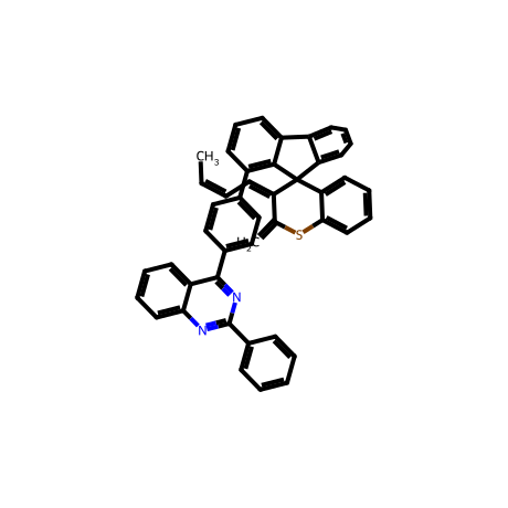 C=C1Sc2ccccc2C2(/C1=C/C=C\C)c1ccccc1-c1cccc(-c3ccc(-c4nc(-c5ccccc5)nc5ccccc45)cc3)c12